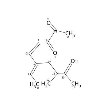 C/C=C(/C=C\C(=O)C(C)=O)CC(C)C(C)=O